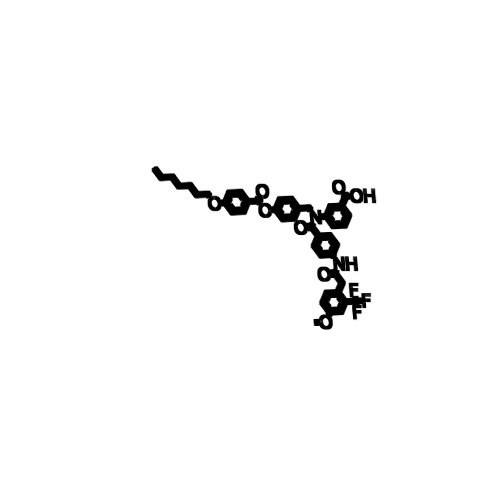 CCCCCCCOc1ccc(C(=O)Oc2ccc(CN(C(=O)c3ccc(NC(=O)Cc4ccc(OC)cc4C(F)(F)F)cc3)c3cccc(C(=O)O)c3)cc2)cc1